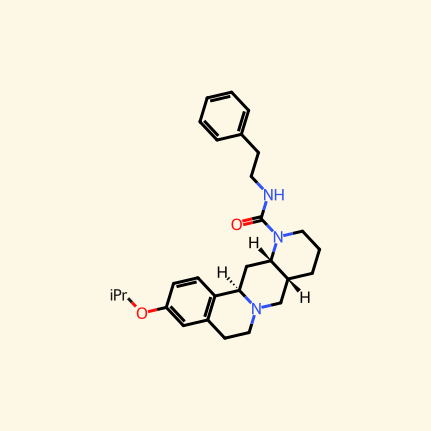 CC(C)Oc1ccc2c(c1)CCN1C[C@H]3CCCN(C(=O)NCCc4ccccc4)[C@H]3C[C@H]21